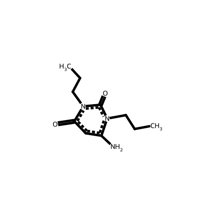 CCCn1c(N)cc(=O)n(CCC)c1=O